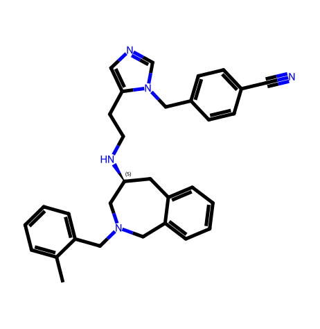 Cc1ccccc1CN1Cc2ccccc2C[C@H](NCCc2cncn2Cc2ccc(C#N)cc2)C1